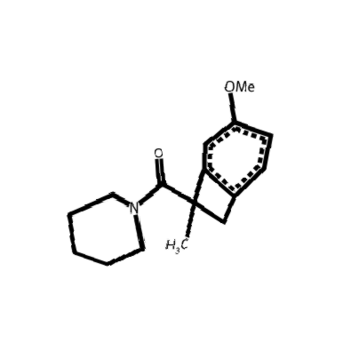 COc1ccc2c(c1)C(C)(C(=O)N1CCCCC1)C2